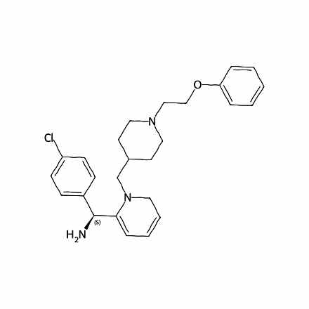 N[C@H](C1=CC=CCN1CC1CCN(CCOc2ccccc2)CC1)c1ccc(Cl)cc1